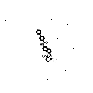 CC1(C)CCCC(C)(C)N1Cc1ccc2cc(NC(=O)c3ccc(-c4ccccc4)cc3)ccc2n1